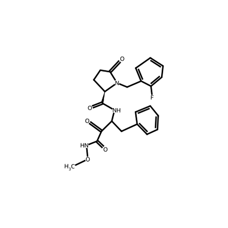 CONC(=O)C(=O)C(Cc1ccccc1)NC(=O)[C@H]1CCC(=O)N1Cc1ccccc1F